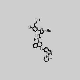 C[C@@H]1CCC[C@H](C)N1c1nnc2ccc(O[C@@H]3CC[C@H](NC(=O)Nc4cc(C(C)(C)C)nn4-c4ccc(Cl)c(CCO)c4)c4ccccc43)cn12